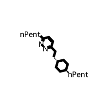 CCCCCc1ccc(CC[C@H]2CC[C@H](CCCCC)CC2)nn1